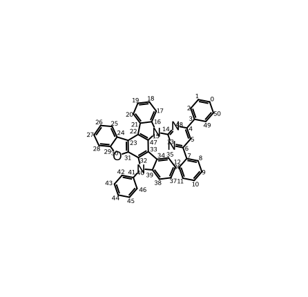 c1ccc(-c2cc(-c3ccccc3)nc(-n3c4ccccc4c4c5c6ccccc6oc5c5c(c6ccccc6n5-c5ccccc5)c43)n2)cc1